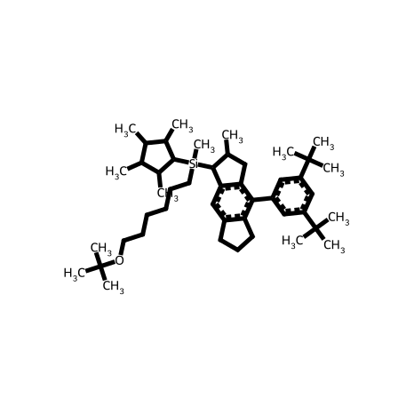 CC1Cc2c(cc3c(c2-c2cc(C(C)(C)C)cc(C(C)(C)C)c2)CCC3)C1[Si](C)(CCCCCCOC(C)(C)C)C1C(C)C(C)C(C)C1C